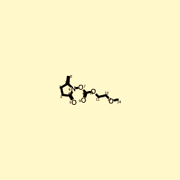 C=C1CCC(=O)N1OC(=O)OCCOC